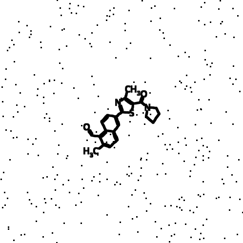 Cc1ccc2cc(-c3nc(C)c(C(=O)N4CCCC4)s3)ccc2c1C=O